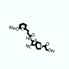 COc1cccc(CCC(=O)NC2SC3=C(CCN(C(=O)CO)C3)C2C#N)c1